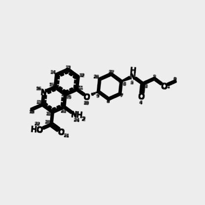 COCC(=O)N[C@H]1CC[C@H](Oc2cccc3nc(C)c(C(=O)O)c(N)c23)CC1